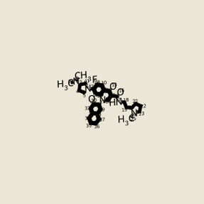 CN(C)C1CCN(c2c(F)cc3c(=O)c(C(=O)NCCC4CCCN4C)cn4c3c2Oc2cc3ccccc3cc2-4)C1